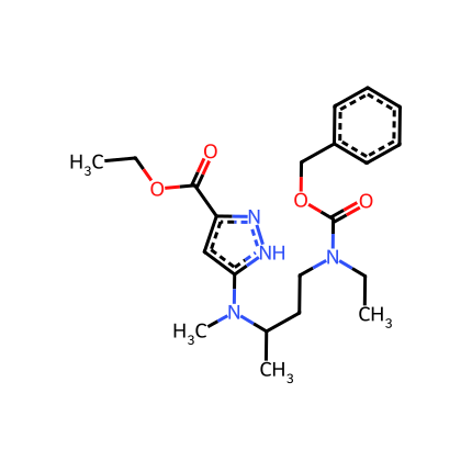 CCOC(=O)c1cc(N(C)C(C)CCN(CC)C(=O)OCc2ccccc2)[nH]n1